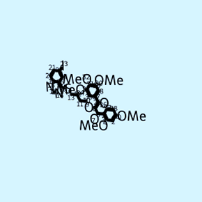 COc1cc(OC)c2c(=O)c(OCCCCSc3ncnc4ccc(I)cc34)c(-c3cc(OC)c(OC)c(OC)c3)oc2c1